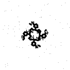 CCN(C)c1cccc(-c2c3nc(c(-c4cccc(N(C)CC)c4)c4ccc([nH]4)c(-c4cccc(N(C)CC)c4)c4nc(c(-c5cccc(N(C)CC)c5)c5ccc2[nH]5)C=C4)C=C3)c1